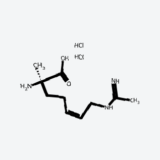 CC(=N)NC/C=C\CC[C@@](C)(N)C(=O)O.Cl.Cl